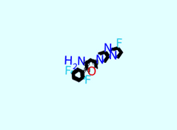 N[C@H]1C[C@@H](N2Cc3nc4n(c3C2)CCC4F)CO[C@@H]1c1cc(F)ccc1F